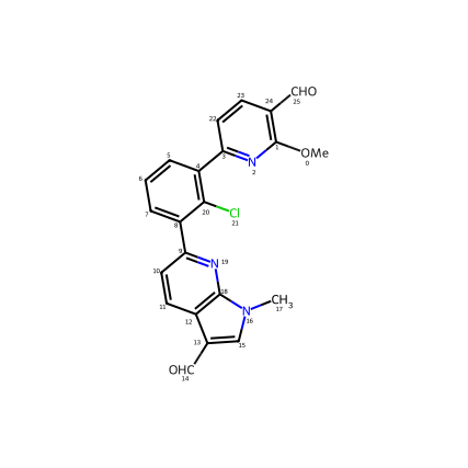 COc1nc(-c2cccc(-c3ccc4c(C=O)cn(C)c4n3)c2Cl)ccc1C=O